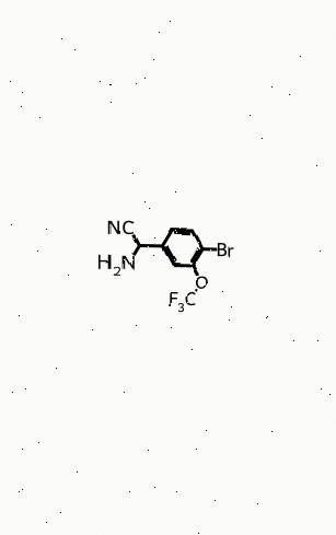 N#CC(N)c1ccc(Br)c(OC(F)(F)F)c1